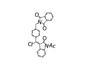 CC(=O)N1C(=O)C(=C(Cl)c2ccc(CN3C(=O)c4ccccc4C3=O)cc2)c2ccccc21